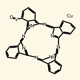 [Cu].[O]=[V][c]1cccc2c3nc4nc(nc5[nH]c(nc6nc(nc([nH]3)c12)-c1ccccc1-6)c1ccccc51)-c1ccccc1-4